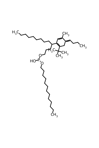 CCCC=C1CC(C(C)(C)C)=C(C(CCCCCCCCC)CCCOP(O)OCCCCCCCCCCCCC)C=C1C